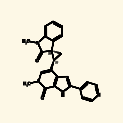 CN1C(=O)[C@@]2(C[C@H]2c2cn(C)c(=O)c3[nH]c(-c4ccncc4)cc23)c2ccccc21